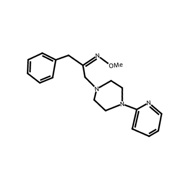 CO/N=C(/Cc1ccccc1)CN1CCN(c2ccccn2)CC1